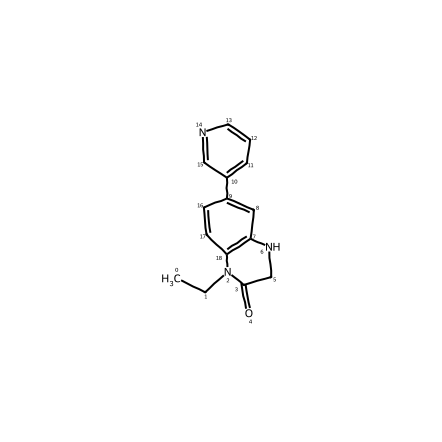 CCN1C(=O)CNc2cc(-c3cccnc3)ccc21